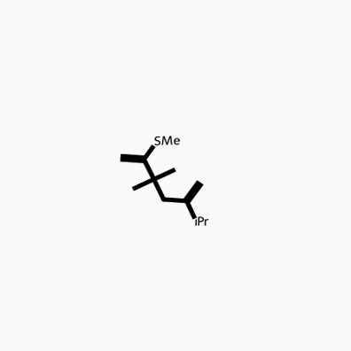 C=C(CC(C)(C)C(=C)SC)C(C)C